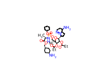 CCC(=O)O[C@H]1[C@H](c2ccc3c(N)ccnn23)O[C@](C#N)(COP(=O)(N[C@@H](C)C(=O)OC[C@H]2CC[C@H](N)CC2)Oc2ccccc2)[C@H]1OC(=O)CC